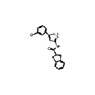 O=C(Nc1cc(-c2cccc(Cl)c2)[nH]n1)C1Cc2ccccc2C1